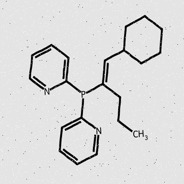 CCCC(=CC1CCCCC1)P(c1ccccn1)c1ccccn1